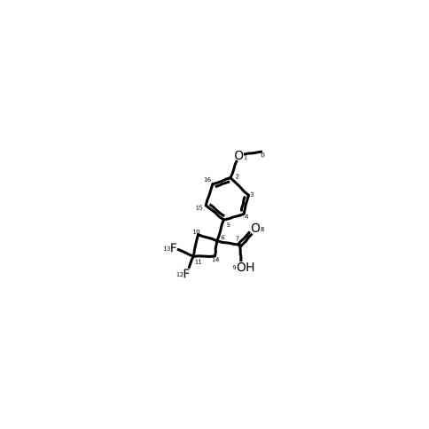 COc1ccc(C2(C(=O)O)CC(F)(F)C2)cc1